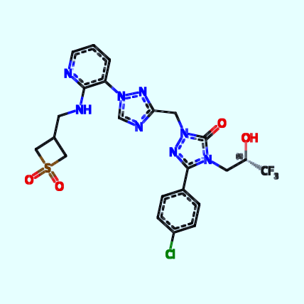 O=c1n(Cc2ncn(-c3cccnc3NCC3CS(=O)(=O)C3)n2)nc(-c2ccc(Cl)cc2)n1C[C@H](O)C(F)(F)F